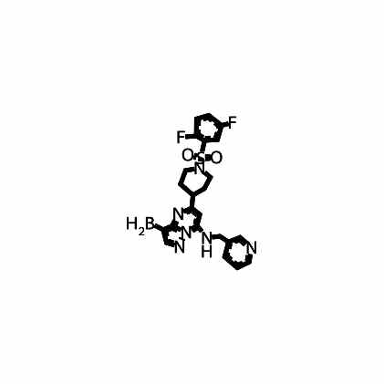 Bc1cnn2c(NCc3cccnc3)cc(C3CCN(S(=O)(=O)c4cc(F)ccc4F)CC3)nc12